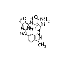 Cc1n[nH]c2cc(Nc3nc(N[C@@H]4[C@H](C(N)=O)[C@H]5C=C[C@@H]4C5)c4occc4n3)ccc12